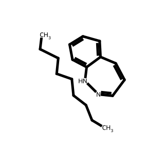 C1=Cc2ccccc2NN=C1.CCCCCCCCC